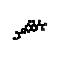 CCN(CC)C(=O)c1ccc2c(c1C=O)OCC1(CN(C(=O)OC(C)(C)C)C1)O2